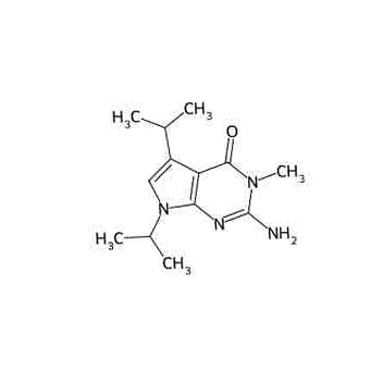 CC(C)c1cn(C(C)C)c2nc(N)n(C)c(=O)c12